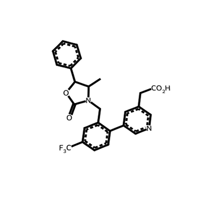 CC1C(c2ccccc2)OC(=O)N1Cc1cc(C(F)(F)F)ccc1-c1cncc(CC(=O)O)c1